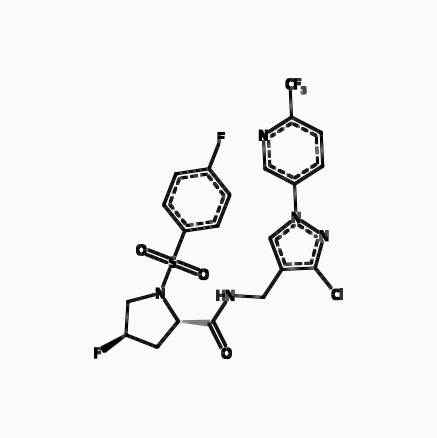 O=C(NCc1cn(-c2ccc(C(F)(F)F)nc2)nc1Cl)[C@@H]1C[C@@H](F)CN1S(=O)(=O)c1ccc(F)cc1